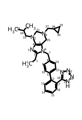 CCc1nc2c(n1Cc1ccc(-c3ccccc3-c3nnn[nH]3)cc1)CN(CC1CC1)CN2CC(C)C